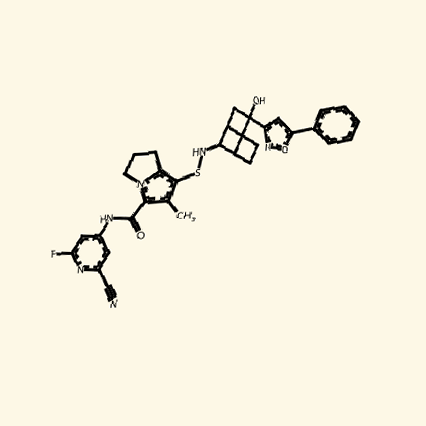 Cc1c(SNC2C3CCC34C2CC4(O)c2cc(-c3ccccc3)on2)c2n(c1C(=O)Nc1cc(F)nc(C#N)c1)CCC2